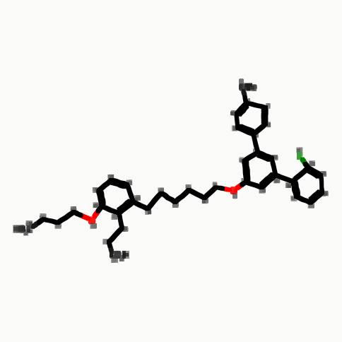 COc1ccc(-c2cc(OCCCCCCc3cccc(OCCCC(=O)O)c3CCC(=O)O)cc(-c3ccccc3F)c2)cc1